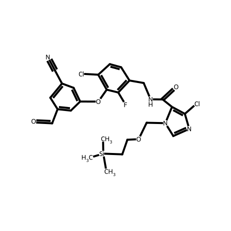 C[Si](C)(C)CCOCn1cnc(Cl)c1C(=O)NCc1ccc(Cl)c(Oc2cc(C#N)cc(C=O)c2)c1F